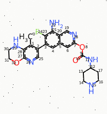 Cc1c(-c2cc3cc(OC(=O)NC4CCNCC4)ncc3c(N)c2F)cnc2c1NCCO2